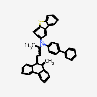 C=c1/c(=C\C=C(/C)N(c2ccc(-c3ccccc3)cc2)c2ccc3sc4ccccc4c3c2)c2ccccc2c2ccccc12